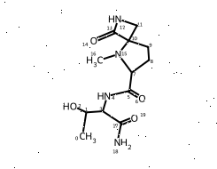 CC(O)C(NC(=O)C1CCC2(CNC2=O)N1C)C(N)=O